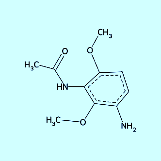 COc1ccc(N)c(OC)c1NC(C)=O